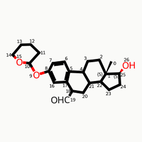 C[C@]12CCC3c4ccc(OC5CCCCO5)cc4C(C=O)CC3C1CC[C@@H]2O